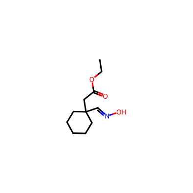 CCOC(=O)CC1(C=NO)CCCCC1